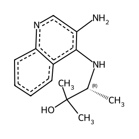 C[C@@H](Nc1c(N)cnc2ccccc12)C(C)(C)O